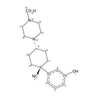 N#C[C@]1(c2cccc(O)c2)CC[C@@H](N2CCN(C(=O)O)CC2)CC1